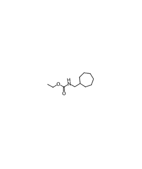 CCOC(=O)NCC1CCCCCC1